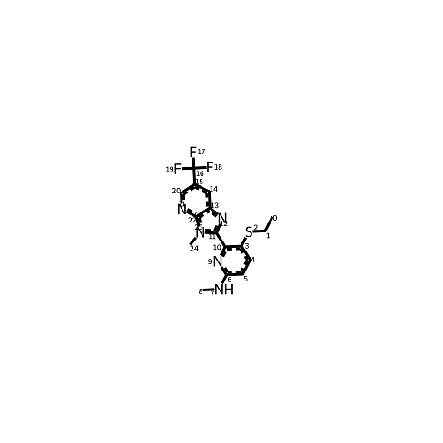 CCSc1ccc(NC)nc1-c1nc2cc(C(F)(F)F)cnc2n1C